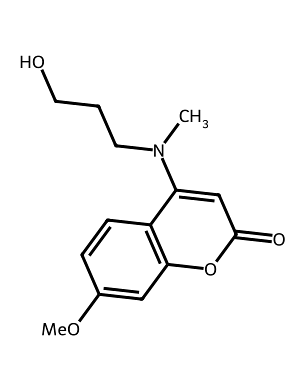 COc1ccc2c(N(C)CCCO)cc(=O)oc2c1